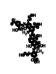 Cc1cc(S(=O)(=O)O)cc(SOOO)c1N=Nc1c(S(=O)(=O)O)cc2c(S(=O)(=O)O)c(N=Nc3cc(S(=O)(=O)O)c4cc(SOOO)c(N=Nc5ccc([N+](=O)[O-])cc5C(=O)O)c(O)c4c3N)ccc2c1O